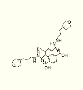 O=C(O)c1ccc(C(=O)O)c2c(C(=O)NNCCCN3CCOCC3)c(Br)cc(C(=O)NNCCCN3CCOCC3)c12